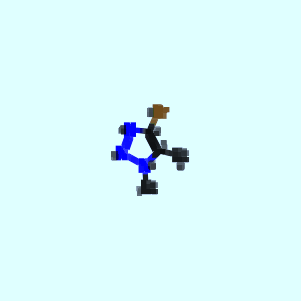 CCc1c(Br)nnn1CC